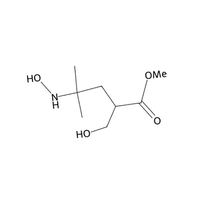 COC(=O)C(CO)CC(C)(C)NO